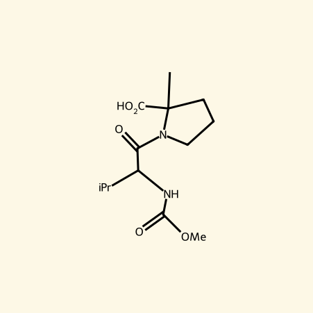 COC(=O)NC(C(=O)N1CCCC1(C)C(=O)O)C(C)C